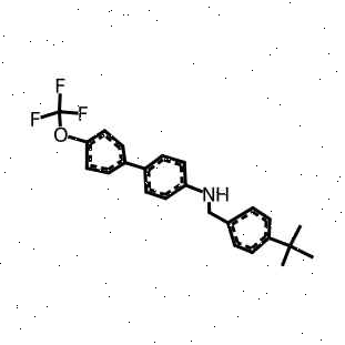 CC(C)(C)c1ccc(CNc2ccc(-c3ccc(OC(F)(F)F)cc3)cc2)cc1